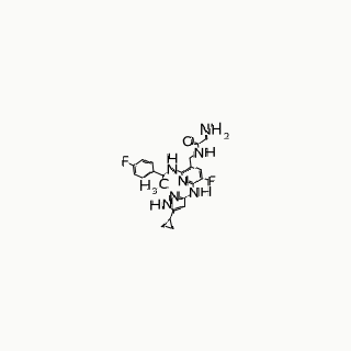 CC(Nc1nc(Nc2cc(C3CC3)[nH]n2)c(F)cc1CNC(=O)CN)c1ccc(F)cc1